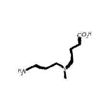 CN(CCCN)CCCC(=O)O